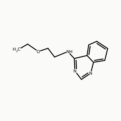 CCOCCNc1ncnc2ccccc12